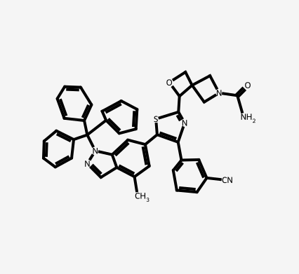 Cc1cc(-c2sc(C3OCC34CN(C(N)=O)C4)nc2-c2cccc(C#N)c2)cc2c1cnn2C(c1ccccc1)(c1ccccc1)c1ccccc1